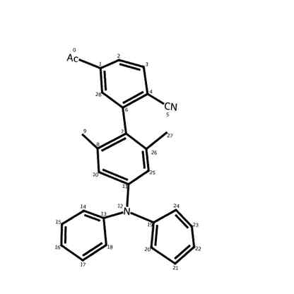 CC(=O)c1ccc(C#N)c(-c2c(C)cc(N(c3ccccc3)c3ccccc3)cc2C)c1